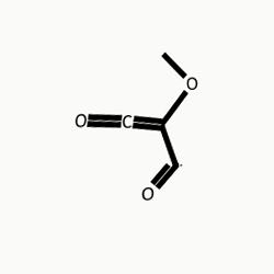 COC([C]=O)=C=O